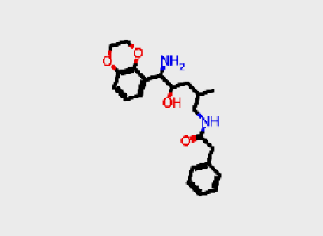 CC(CNC(=O)Cc1ccccc1)CC(O)C(N)c1cccc2c1OCCO2